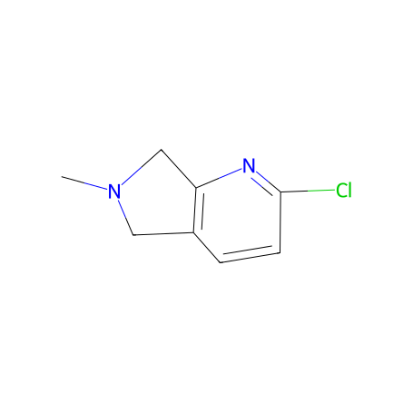 CN1Cc2ccc(Cl)nc2C1